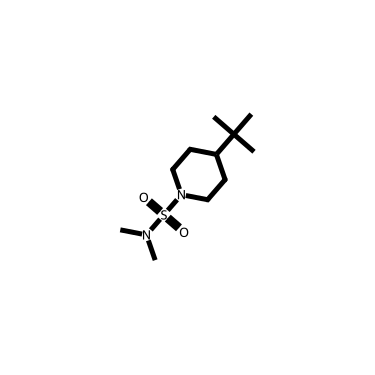 CN(C)S(=O)(=O)N1CCC(C(C)(C)C)CC1